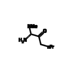 CCCCC(=O)C(N)NC